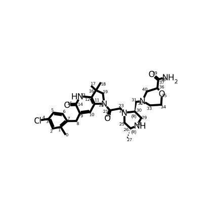 Cc1cc(Cl)ccc1Cc1cc2c([nH]c1=O)C(C)(C)CN2C(=O)CN1C[C@@H](C)NC[C@@H]1CN1CCOC(C(N)=O)C1